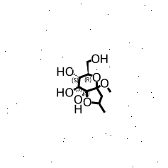 COC12CC(C)O[C@@]1(O)[C@@H](O)[C@H](O)[C@@H](CO)O2